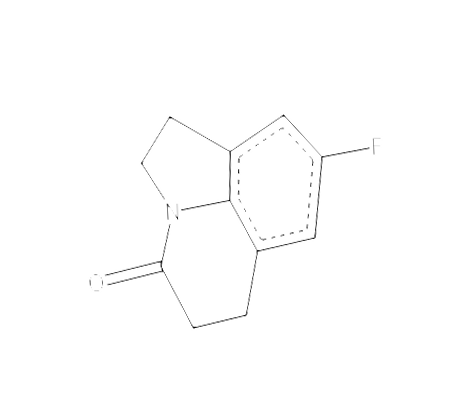 O=C1CCc2cc(F)cc3c2N1CC3